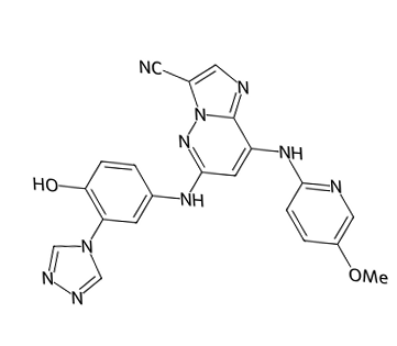 COc1ccc(Nc2cc(Nc3ccc(O)c(-n4cnnc4)c3)nn3c(C#N)cnc23)nc1